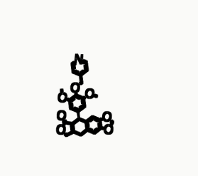 COc1cc([C@@H]2C3=C(COC3=O)Cc3cc4c(cc32)OCO4)cc(OC)c1OCc1ccncc1